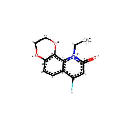 O=CCn1c(=O)cc(F)c2ccc3c(c21)OCCO3